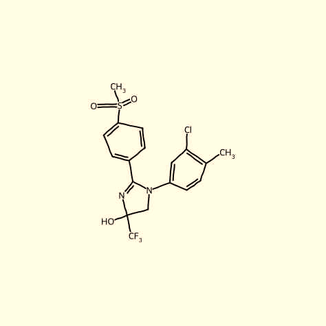 Cc1ccc(N2CC(O)(C(F)(F)F)N=C2c2ccc(S(C)(=O)=O)cc2)cc1Cl